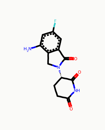 Nc1cc(F)cc2c1CN([C@H]1CCC(=O)NC1=O)C2=O